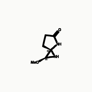 CO[C@@H]1N[C@]12CCC(=O)N2